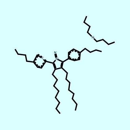 CCCCCCCCC1=C(c2ccc(CCCC)cc2)[N+](=[N-])C(c2ccc(CCCC)cc2)=C1CCCCCCCC.CCC[CH2][Ni][CH2]CCC